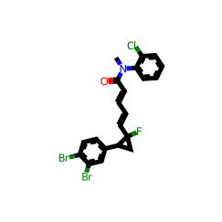 CN(C(=O)/C=C/C=C/C1(F)CC1c1ccc(Br)c(Br)c1)c1ccccc1Cl